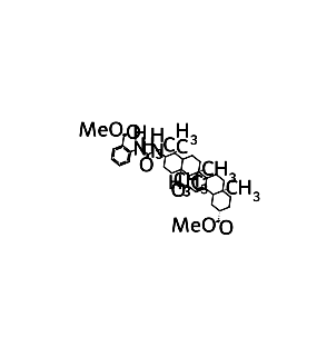 COC(=O)c1ccccc1NC(=O)NC1CC[C@@]2(C)C(CC[C@]3(C)C2C(=O)C=C2C4C[C@@H](C(=O)OC)CC[C@]4(C)CC[C@]23C)C1(C)C